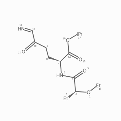 CCO[C@@H](CC)C(=O)N[C@@H](CCC(=O)C=N)C(=O)OC(C)C